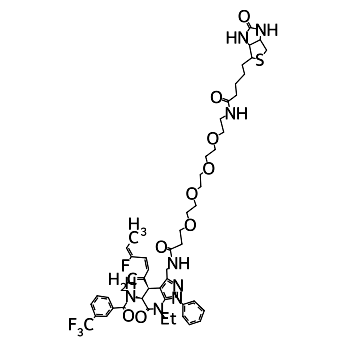 C=C(/C=C\C(F)=C/C)[C@H]1c2c(CNC(=O)CCOCCOCCOCCOCCNC(=O)CCCCC3SCC4NC(=O)NC43)nn(-c3ccccc3)c2N(CC)C(=O)[C@H]1NC(=O)c1cccc(C(F)(F)F)c1